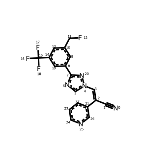 N#C/C(=C/n1cnc(-c2cc(CF)cc(C(F)(F)F)c2)n1)c1cccnc1